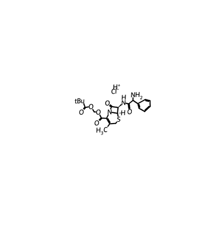 CC1=C(C(=O)OCOC(=O)C(C)(C)C)N2C(=O)[C@@H](NC(=O)C(N)c3ccccc3)[C@H]2SC1.[Cl-].[H+]